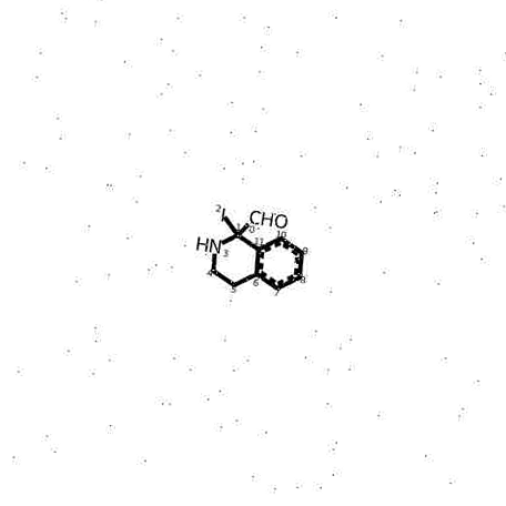 O=CC1(I)NCCc2ccccc21